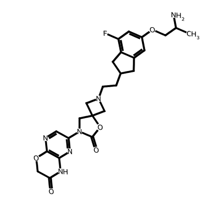 CC(N)COc1cc(F)c2c(c1)CC(CCN1CC3(C1)CN(c1cnc4c(n1)NC(=O)CO4)C(=O)O3)C2